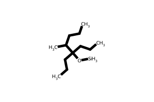 CCCC(C)C(CCC)(CCC)O[SiH3]